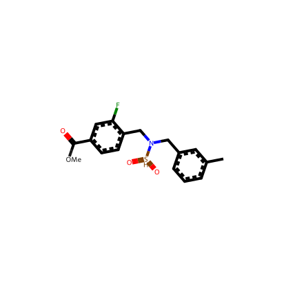 COC(=O)c1ccc(CN(Cc2cccc(C)c2)[SH](=O)=O)c(F)c1